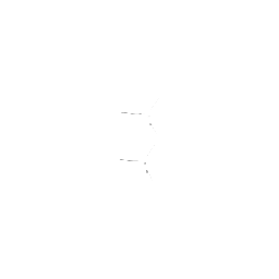 CC[SiH](C)O[SiH](CC)CC